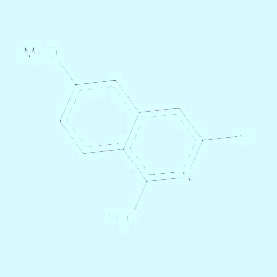 CCc1cc2cc(OC)ccc2c(C)n1